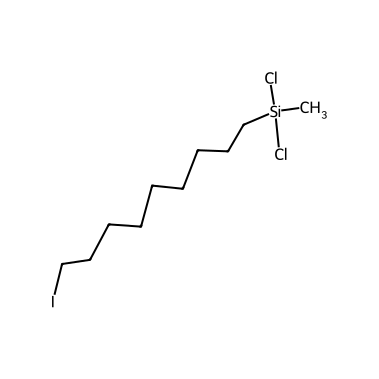 C[Si](Cl)(Cl)CCCCCCCCCI